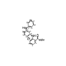 CNC(=O)c1ccccc1Nc1cc(Nc2cccnc2)ncc1C(F)(F)F